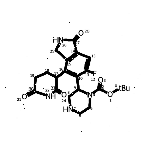 CC(C)(C)OC(=O)N1CCNCC1c1c(F)cc2c(c1C1CCC(=O)NC1=O)CNC2=O